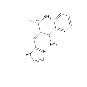 C[C@H](N)/C(=C/c1ncc[nH]1)C(N)c1ccccc1